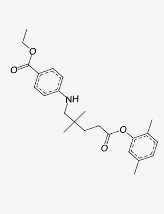 CCOC(=O)c1ccc(NCC(C)(C)CCC(=O)Oc2cc(C)ccc2C)cc1